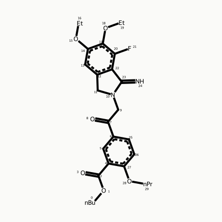 CCCCOC(=O)c1cc(C(=O)CN2Cc3cc(OCC)c(OCC)c(F)c3C2=N)ccc1OCCC